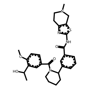 COc1ccc(C(=O)N2CCCCC2c2cccc(C(=O)Nc3nc4c(s3)CN(C)CC4)c2)cc1C(C)O